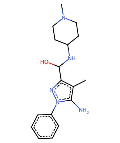 Cc1c(C(O)NC2CCN(C)CC2)nn(-c2ccccc2)c1N